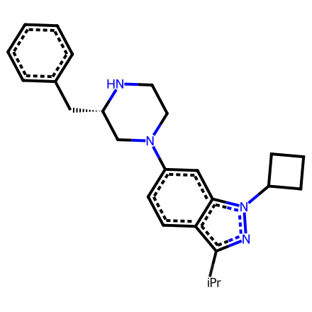 CC(C)c1nn(C2CCC2)c2cc(N3CCN[C@@H](Cc4ccccc4)C3)ccc12